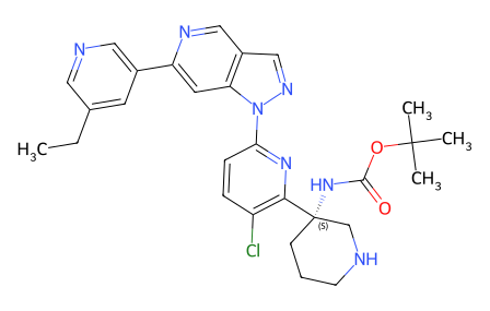 CCc1cncc(-c2cc3c(cn2)cnn3-c2ccc(Cl)c([C@]3(NC(=O)OC(C)(C)C)CCCNC3)n2)c1